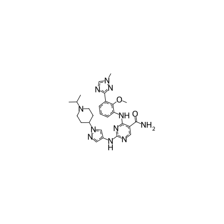 COc1c(Nc2nc(Nc3cnn(C4CCN(C(C)C)CC4)c3)ncc2C(N)=O)cccc1-c1ncn(C)n1